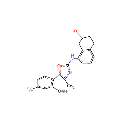 COc1cc(C(F)(F)F)ccc1-c1oc(Nc2cccc3c2CC(O)CC3)nc1C